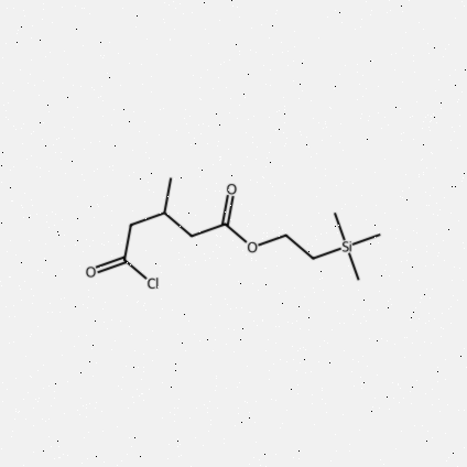 CC(CC(=O)Cl)CC(=O)OCC[Si](C)(C)C